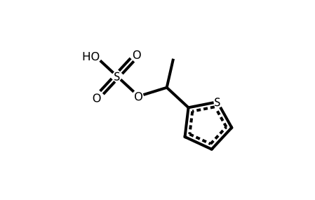 CC(OS(=O)(=O)O)c1cccs1